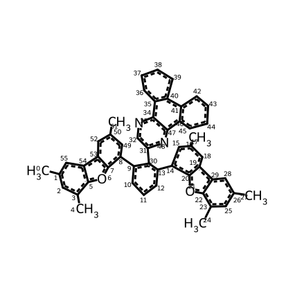 Cc1cc(C)c2oc3c(-c4cccc(-c5cc(C)cc6c5oc5c(C)cc(C)cc56)c4-c4cnc5c6ccccc6c6ccccc6c5n4)cc(C)cc3c2c1